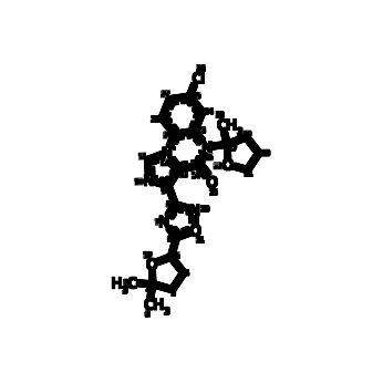 CC1(C)CCC(c2nc(-c3ncn4c3c(=O)n(C3(C)CCCO3)c3cc(Cl)ccc34)no2)O1